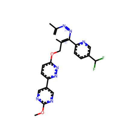 C=C(C)/N=N\C(=C(/C)COc1ccc(-c2cnc(OC)nc2)nn1)c1ccc(C(F)F)cn1